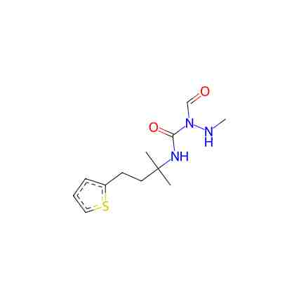 CNN(C=O)C(=O)NC(C)(C)CCc1cccs1